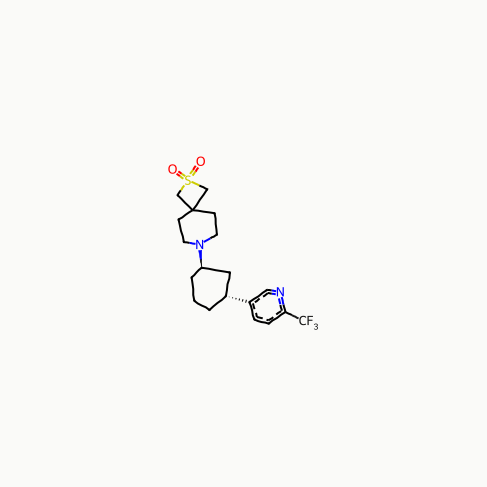 O=S1(=O)CC2(CCN([C@@H]3CCC[C@@H](c4ccc(C(F)(F)F)nc4)C3)CC2)C1